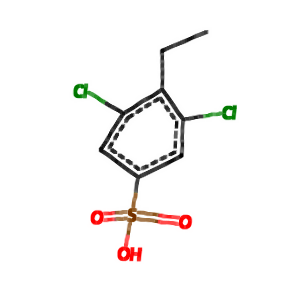 CCc1c(Cl)cc(S(=O)(=O)O)cc1Cl